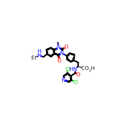 CCNCc1ccc2c(c1)c(=O)n(-c1ccc(C[C@H](NC(=O)c3c(Cl)cncc3Cl)C(=O)O)cc1)c(=O)n2C